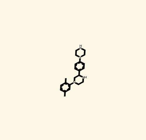 Cc1ccc(C)c(N2CCNC(c3ccc(N4CCNCC4)cc3)C2)c1